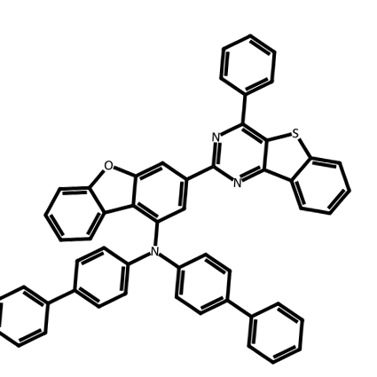 c1ccc(-c2ccc(N(c3ccc(-c4ccccc4)cc3)c3cc(-c4nc(-c5ccccc5)c5sc6ccccc6c5n4)cc4oc5ccccc5c34)cc2)cc1